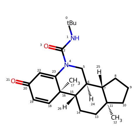 CC(C)(C)NC(=O)N1C[C@H]2[C@@H]3CCC[C@@]3(C)CC[C@@H]2[C@@]2(C)C=CC(=O)C=C12